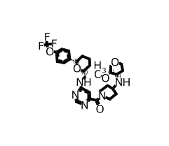 CO[C@@H]1COCC[C@@H]1NC1CCN(C(=O)c2cc(NC[C@H]3CCC[C@@H](c4ccc(OC(F)(F)F)cc4)O3)ncn2)CC1